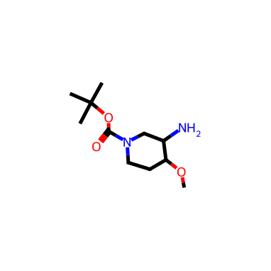 COC1CCN(C(=O)OC(C)(C)C)CC1N